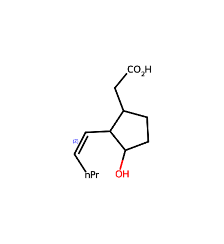 CCC/C=C\C1C(O)CCC1CC(=O)O